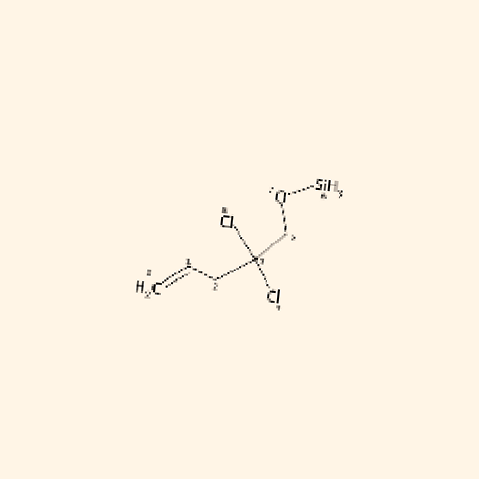 C=CCC(Cl)(Cl)CO[SiH3]